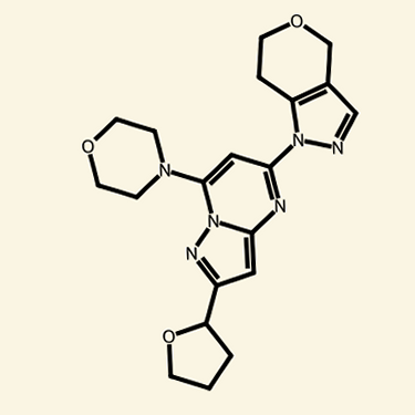 c1nn(-c2cc(N3CCOCC3)n3nc(C4CCCO4)cc3n2)c2c1COCC2